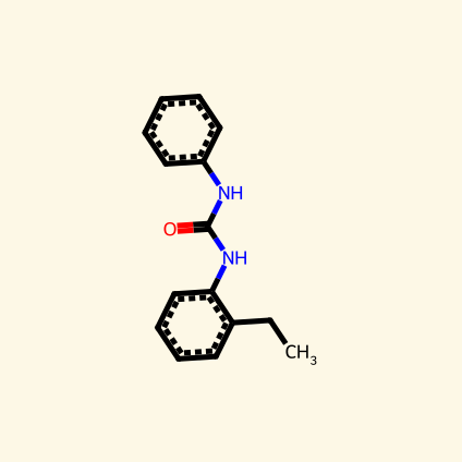 CCc1ccccc1NC(=O)Nc1ccccc1